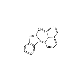 CC1=Cc2ccccc2/C1=C1\C=CC=C2C=CC=CC21